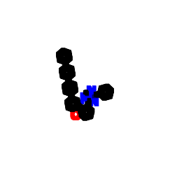 c1ccc(-c2ccc(-c3ccc(-c4ccc5oc6cccc(-c7ncnc(-c8ccccc8)n7)c6c5c4)cc3)cc2)cc1